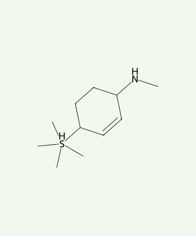 CNC1C=CC([SH](C)(C)(C)C)CC1